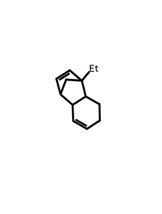 CCC12C=CC(C1)C1C=CCCC12